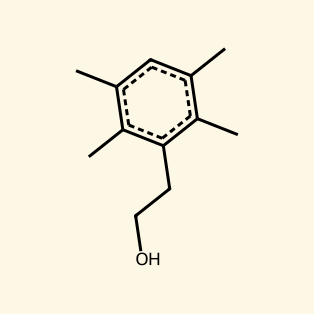 Cc1cc(C)c(C)c(CCO)c1C